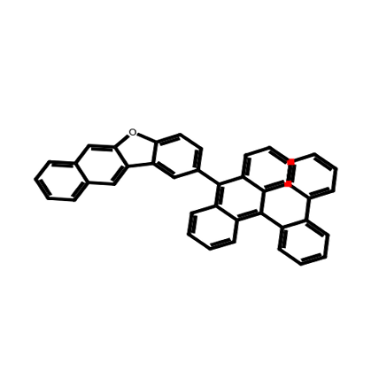 c1ccc(-c2ccccc2-c2c3ccccc3c(-c3ccc4oc5cc6ccccc6cc5c4c3)c3ccccc23)cc1